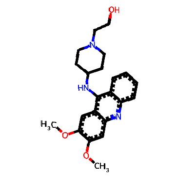 COc1cc2nc3ccccc3c(NC3CCN(CCO)CC3)c2cc1OC